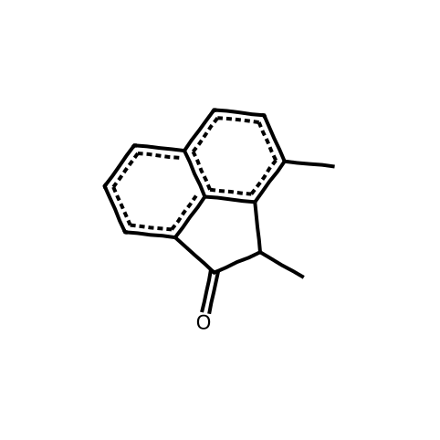 Cc1ccc2cccc3c2c1C(C)C3=O